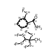 CC(SF)(SF)C(SF)SF.NC(=O)c1ccccc1SF